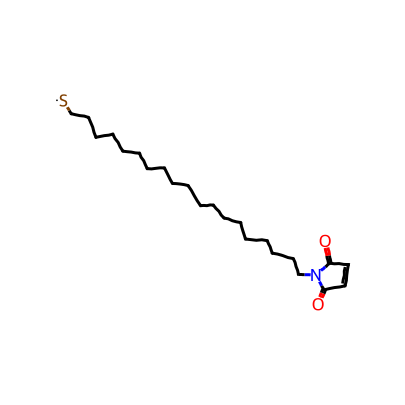 O=C1C=CC(=O)N1CCCCCCCCCCCCCCCCCCC[S]